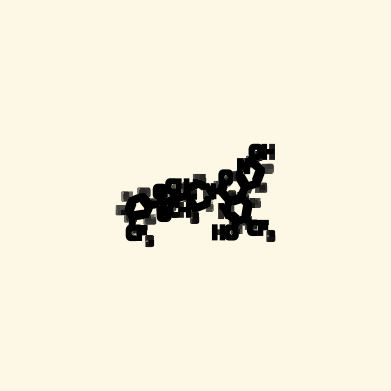 CC(C)(C1CCN(C(=O)c2nc(O)c(C(F)(F)F)cc2-c2ccc(O)nc2)CC1)S(=O)(=O)c1cccc(C(F)(F)F)c1